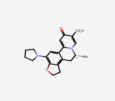 CC(C)(C)[C@@H]1Cc2c(cc(N3CCCC3)c3c2CCO3)-c2cc(=O)c(C(=O)O)cn21